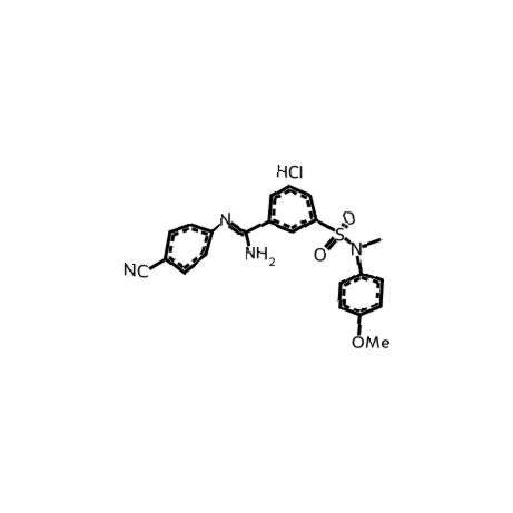 COc1ccc(N(C)S(=O)(=O)c2cccc(/C(N)=N/c3ccc(C#N)cc3)c2)cc1.Cl